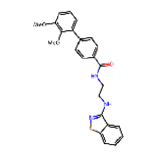 COc1cccc(-c2ccc(C(=O)NCCNc3nsc4ccccc34)cc2)c1OC